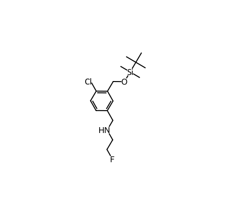 CC(C)(C)[Si](C)(C)OCc1cc(CNCCF)ccc1Cl